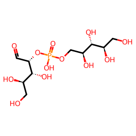 O=C[C@H](OP(=O)(O)OC[C@H](O)[C@H](O)[C@H](O)CO)[C@H](O)[C@H](O)CO